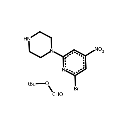 CC(C)(C)OC=O.O=[N+]([O-])c1cc(Br)nc(N2CCNCC2)c1